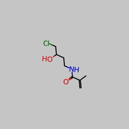 C=C(C)C(=O)NCCC(O)CCl